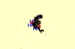 CCC(C)CCNC(=O)c1ccc2c(c1)/C(=C(/Nc1ccc(CN3CCCC3)cc1)c1ccccc1)C(=O)N2